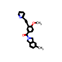 COc1ccc(C(=O)N2Cc3ccc(C)cc3C2)cc1C#Cc1ccccn1